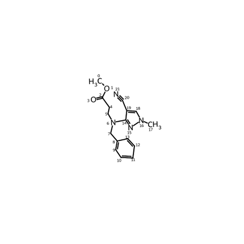 COC(=O)CCN(Cc1ccccc1)c1nn(C)cc1C#N